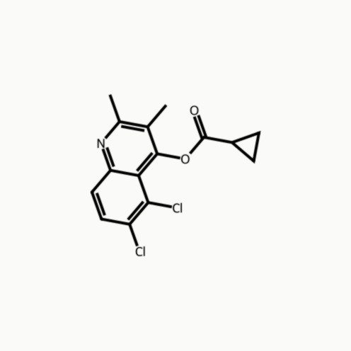 Cc1nc2ccc(Cl)c(Cl)c2c(OC(=O)C2CC2)c1C